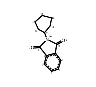 O=C1c2ccccc2C(=O)N1C1C[CH]CCC1